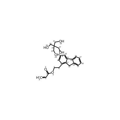 C=CC(=O)OCCc1cccc2c1Cc1ccccc1-2.OCC(CO)(CO)CO